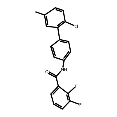 Cc1ccc(Cl)c(-c2ccc(NC(=O)c3cccc(F)c3F)cc2)c1